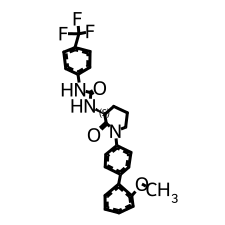 COc1ccccc1-c1ccc(N2CCC[C@H](NC(=O)Nc3ccc(C(F)(F)F)cc3)C2=O)cc1